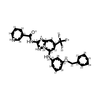 O=C(Nc1nc2cc(C(F)(F)F)cc(Nc3cccc(OCc4ccccc4)c3)n2n1)c1cccnc1